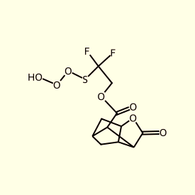 O=C(OCC(F)(F)SOOO)C1C2CC3OC(=O)C1C3C2